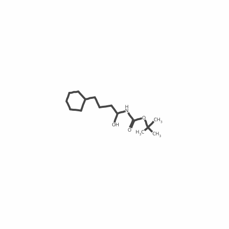 CC(C)(C)OC(=O)NC(O)CCCC1CCCCC1